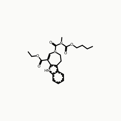 CCCCOC(=O)N(C)C(=O)N1C=C(C(=O)OCC)c2[nH]c3ccccc3c2CC1